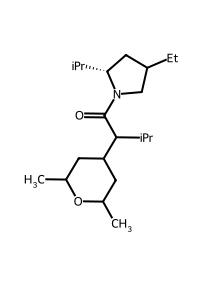 CCC1C[C@@H](C(C)C)N(C(=O)C(C(C)C)C2CC(C)OC(C)C2)C1